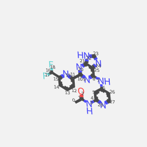 CC(=O)Nc1cc(Nc2nc(-c3cccc(C(F)F)n3)nc3[nH]cnc23)ccn1